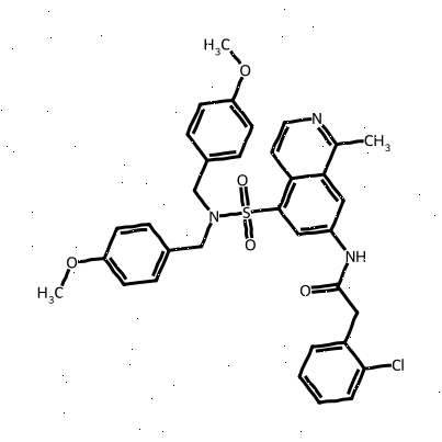 COc1ccc(CN(Cc2ccc(OC)cc2)S(=O)(=O)c2cc(NC(=O)Cc3ccccc3Cl)cc3c(C)nccc23)cc1